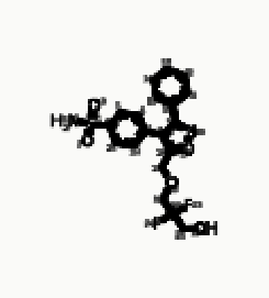 NS(=O)(=O)c1ccc(-c2c(-c3ccccc3)noc2COCC(F)(F)CO)cc1